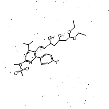 CCOC(CC(O)CC(O)/C=C/c1c(-c2ccc(F)cc2)nc(N(C)S(C)(=O)=O)nc1C(C)C)OCC